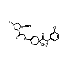 CC1(C(=O)Nc2cccc(Cl)c2)CC=C(NCC(=O)N2C[C@@H](F)C[C@H]2C#N)CC1